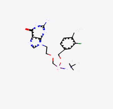 CCOC(=O)C(C)(C)NP(=O)(COCCn1cnc2c(=O)[nH]c(N)nc21)OCc1ccc(OC)c(F)c1